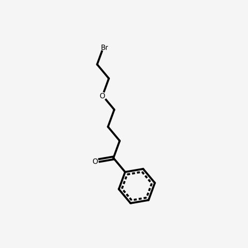 O=C(CCCOCCBr)c1ccccc1